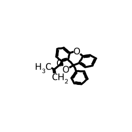 C=C(C)C(=O)OC1(c2ccccc2)c2ccccc2Oc2ccccc21